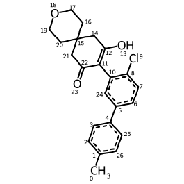 Cc1ccc(-c2ccc(Cl)c(C3=C(O)CC4(CCOCC4)CC3=O)c2)cc1